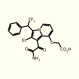 CCc1c(C(=O)C(N)=O)c2c(OCC(=O)O)cccn2c1C(c1ccccc1)C(F)(F)F